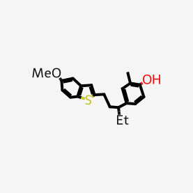 CCC(CCc1cc2cc(OC)ccc2s1)c1ccc(O)c(C)c1